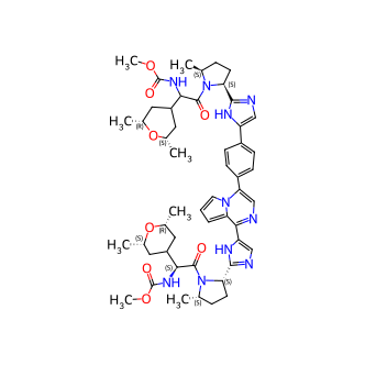 COC(=O)NC(C(=O)N1[C@@H](C)CC[C@H]1c1ncc(-c2ccc(-c3cnc(-c4cnc([C@@H]5CC[C@H](C)N5C(=O)[C@@H](NC(=O)OC)C5C[C@@H](C)O[C@@H](C)C5)[nH]4)c4cccn34)cc2)[nH]1)C1C[C@@H](C)O[C@@H](C)C1